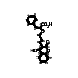 O=C(O)C(Cc1ccccc1)OCCCc1c(O)c2ccccc2oc1=O